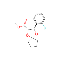 COC(=O)[C@H]1OC2(CCCC2)O[C@@H]1c1ccccc1F